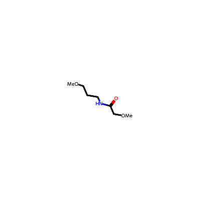 COCCCNC(=O)COC